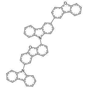 c1ccc2c(c1)oc1ccc(-c3ccc4c(c3)c3ccccc3n4-c3cccc4c3oc3ccc(-n5c6ccccc6c6ccccc65)cc34)cc12